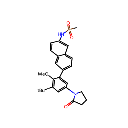 COc1c(-c2ccc3cc(NS(C)(=O)=O)ccc3c2)cc(N2CCCC2=O)cc1C(C)(C)C